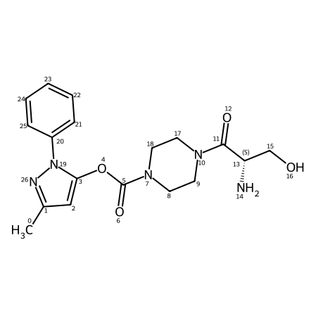 Cc1cc(OC(=O)N2CCN(C(=O)[C@@H](N)CO)CC2)n(-c2ccccc2)n1